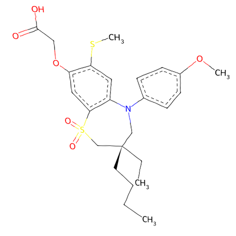 CCCC[C@]1(CC)CN(c2ccc(OC)cc2)c2cc(SC)c(OCC(=O)O)cc2S(=O)(=O)C1